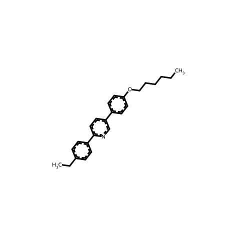 CCCCCCOc1ccc(-c2ccc(-c3ccc(CC)cc3)nc2)cc1